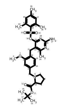 COc1cc(CN2CCCC2C(=O)OC(C)(C)C)ccc1Cc1c(C)nc(N)nc1OS(=O)(=O)c1c(C)cc(C)cc1C